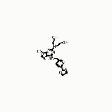 CCn1cnc2c(NCc3ccc(-c4ncco4)nc3)nc(N(CCO)CCO)nc21